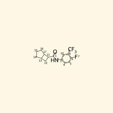 O=C(Nc1ccc(F)c(C(F)(F)F)c1)C1CC2CCCC21